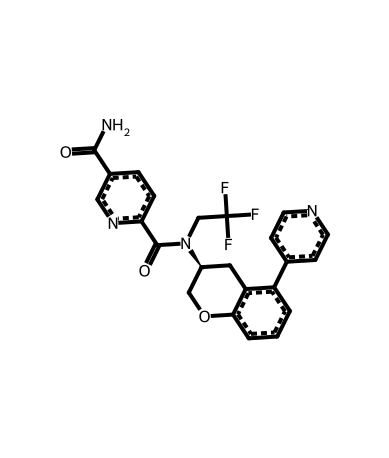 NC(=O)c1ccc(C(=O)N(CC(F)(F)F)[C@@H]2COc3cccc(-c4ccncc4)c3C2)nc1